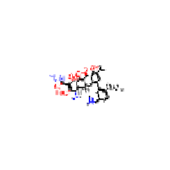 C=C(C)c1cc(-c2cc(CN(C)C)ccc2OC)c2c(c1O)C(=O)C1=C(O)[C@]3(O)C(=O)C(C(N)=O)=C(O)[C@@H](N(C)C)[C@@H]3C[C@@H]1C2